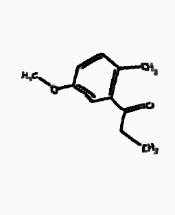 CCC(=O)c1cc(OC)ccc1C